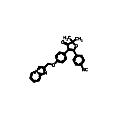 [C-]#[N+]c1ccc(C2=C(c3ccc(OCc4cn5ccccc5n4)cc3)C(=O)C(C)(C)O2)cc1